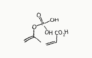 C=C(C)OP(=O)(O)O.C=CC(=O)O